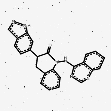 O=C1C(c2ccc3cn[nH]c3c2)Cc2ccccc2N1Nc1ncnc2ccccc12